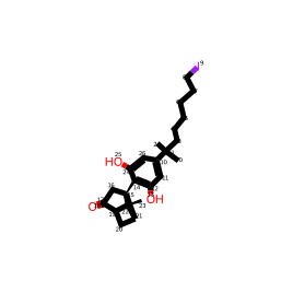 CC(C)(CCCCCCI)c1cc(O)c([C@@]23CC(=O)C4CC2[C@]43C)c(O)c1